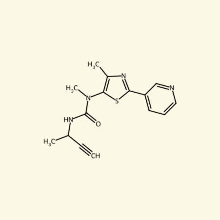 C#CC(C)NC(=O)N(C)c1sc(-c2cccnc2)nc1C